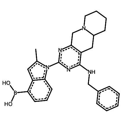 Cc1cc2c(B(O)O)cccc2n1-c1nc2c(c(NCc3ccccc3)n1)CC1CCCCN1C2